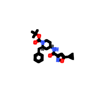 CC(C)(C)OC(=O)N1CC[C@@H](NC(=O)c2cc(C3CC3)on2)C[C@H]1Cc1ccccc1